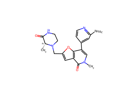 CC(=O)Nc1cc(-c2cn(C)c(=O)c3cc(CN4CCNC(=O)[C@H]4C)oc23)ccn1